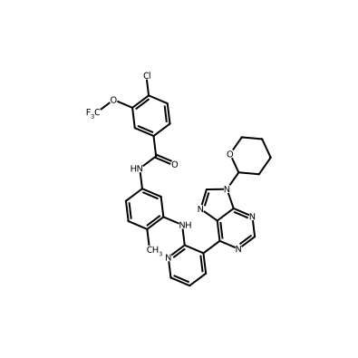 Cc1ccc(NC(=O)c2ccc(Cl)c(OC(F)(F)F)c2)cc1Nc1ncccc1-c1ncnc2c1ncn2C1CCCCO1